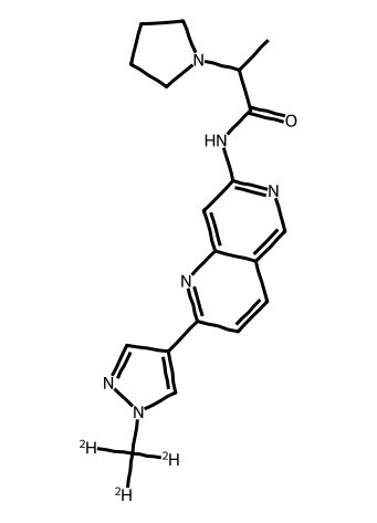 [2H]C([2H])([2H])n1cc(-c2ccc3cnc(NC(=O)C(C)N4CCCC4)cc3n2)cn1